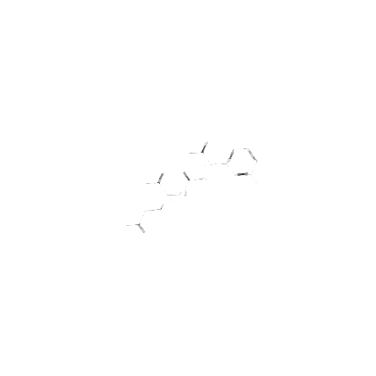 O=C(O)CC[C@H](NC(=O)N[C@H](C(=O)O)c1cccc(F)c1)C(=O)O